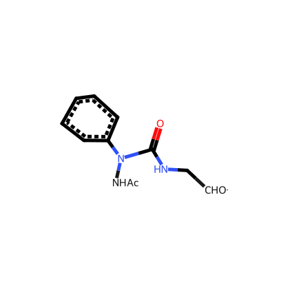 CC(=O)NN(C(=O)NC[C]=O)c1ccccc1